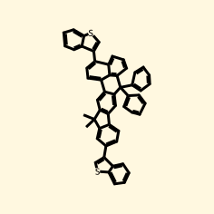 CC1(C)c2cc(-c3csc4ccccc34)ccc2-c2cc3c(cc21)-c1ccc(-c2csc4ccccc24)c2cccc(c12)C3(c1ccccc1)c1ccccc1